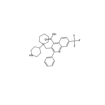 O=C(O)c1c(C[N+]2(C3CCNCC3)CCCCC2)c(-c2ccccc2)nc2cc(C(F)(F)F)ccc12